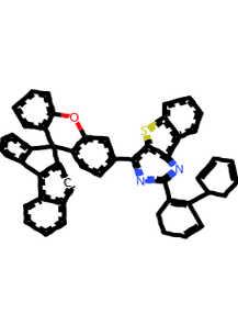 C1=CCC(C2=C(c3nc(-c4ccc5c(c4)Oc4ccccc4C54c5ccccc5-c5c4ccc4ccccc54)c4sc5ccccc5c4n3)CCC=C2)C=C1